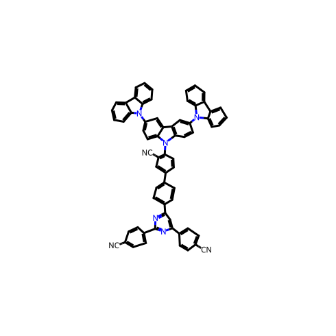 N#Cc1ccc(-c2cc(-c3ccc(-c4ccc(-n5c6ccc(-n7c8ccccc8c8ccccc87)cc6c6cc(-n7c8ccccc8c8ccccc87)ccc65)c(C#N)c4)cc3)nc(-c3ccc(C#N)cc3)n2)cc1